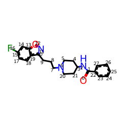 O=C(NC1CCN(CCCc2noc3cc(F)ccc23)CC1)c1ccccc1